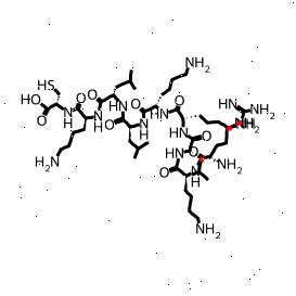 CC(C)C[C@H](NC(=O)[C@H](CC(C)C)NC(=O)[C@H](CCCCN)NC(=O)[C@H](CCCCN)NC(=O)[C@H](CC(C)C)NC(=O)[C@H](CCCCN)NC(=O)[C@@H](N)CCCNC(=N)N)C(=O)N[C@@H](CCCCN)C(=O)N[C@@H](CS)C(=O)O